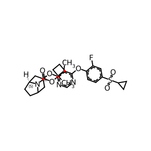 Cc1c(Oc2ccc(S(=O)(=O)C3CC3)cc2F)ncnc1O[C@H]1CC2CC[C@@H](C1)N2C(=O)OC1(C)CCC1